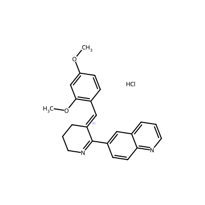 COc1ccc(/C=C2\CCCN=C2c2ccc3ncccc3c2)c(OC)c1.Cl